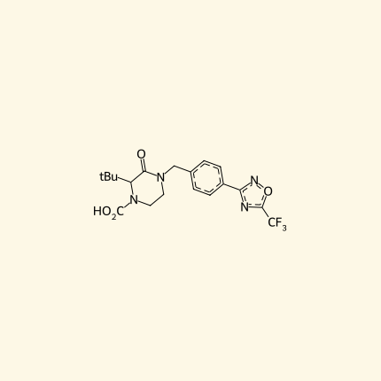 CC(C)(C)C1C(=O)N(Cc2ccc(-c3noc(C(F)(F)F)n3)cc2)CCN1C(=O)O